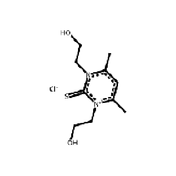 Cc1cc(C)[n+](CCO)c(=S)n1CCO.[Cl-]